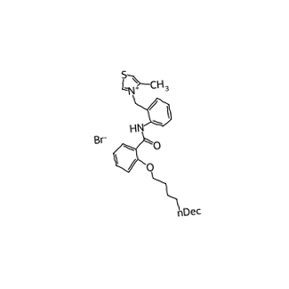 CCCCCCCCCCCCCCOc1ccccc1C(=O)Nc1ccccc1C[n+]1cscc1C.[Br-]